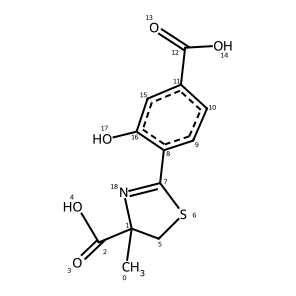 CC1(C(=O)O)CSC(c2ccc(C(=O)O)cc2O)=N1